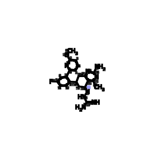 COc1cccc(-c2cc(F)ccc2C2C/C(=N\NC(=N)N)c3c(C)nc(N)nc3C2)n1